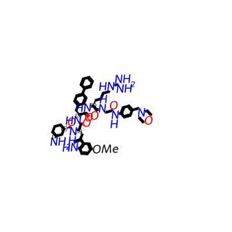 COc1ccc2[nH]cc(C[C@H](NC(=O)[C@H]3CCC[C@H](N)C3)C(=O)N[C@@H](Cc3ccc(-c4ccccc4)cc3)C(=O)N[C@@H](CCCCNC(=N)N)C(=O)NCC(=O)Nc3ccc(CN4CCOCC4)cc3)c2c1